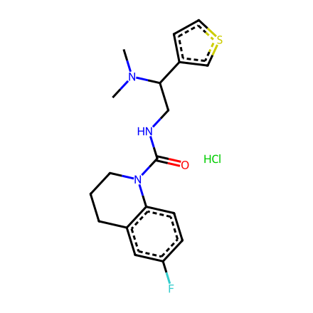 CN(C)C(CNC(=O)N1CCCc2cc(F)ccc21)c1ccsc1.Cl